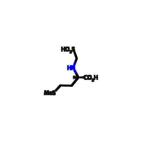 CSCC[C@H](NCS(=O)(=O)O)C(=O)O